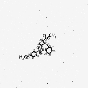 COC(=O)c1scc(NS(=O)(=O)c2ccc(OC)cc2)c1Cc1ccccc1